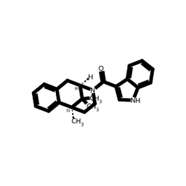 CC1(C)[C@H]2Cc3ccccc3[C@]1(C)CCN2C(=O)c1c[nH]c2ccccc12